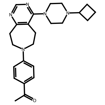 CC(=O)c1ccc(N2CCc3ncnc(N4CCN(C5CCC5)CC4)c3CC2)cc1